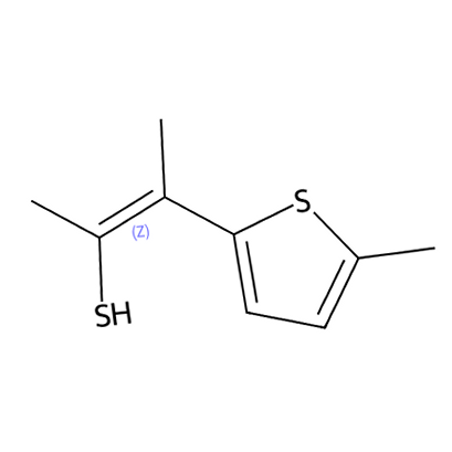 C/C(S)=C(\C)c1ccc(C)s1